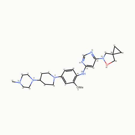 COc1cc(N2CCC(N3CCN(C)CC3)CC2)ccc1Nc1cc(N2CC3(CC3)CO2)ncn1